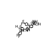 Cc1cc(-c2cn(-c3ccc(C(CO)S(N)(=O)=O)cc3N3CCC(=C(F)F)CC3)nn2)nc(N2CCC(F)(F)CC2)n1